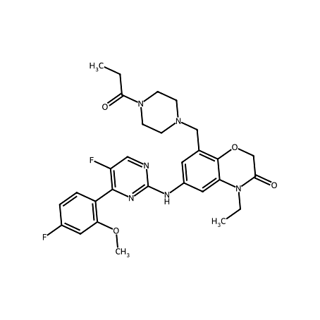 CCC(=O)N1CCN(Cc2cc(Nc3ncc(F)c(-c4ccc(F)cc4OC)n3)cc3c2OCC(=O)N3CC)CC1